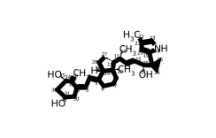 C=C1/C(=C\C=C2/CCC[C@]3(C)[C@@H]([C@H](C)/C=C/[C@@H](O)C4(c5cc(C)c[nH]5)CC4)CC[C@@H]23)C[C@@H](O)C[C@@H]1O